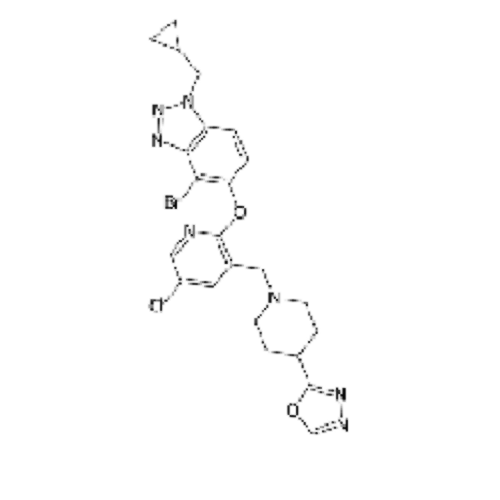 Clc1cnc(Oc2ccc3c(nnn3CC3CC3)c2Br)c(CN2CCC(c3nnco3)CC2)c1